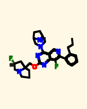 CCCc1ccccc1-c1ncc2c(N3CC4CCC(C3)N4)nc(OCC34CCCN3C[C@H](F)C4)nc2c1F